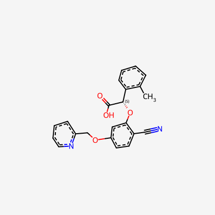 Cc1ccccc1[C@H](Oc1cc(OCc2ccccn2)ccc1C#N)C(=O)O